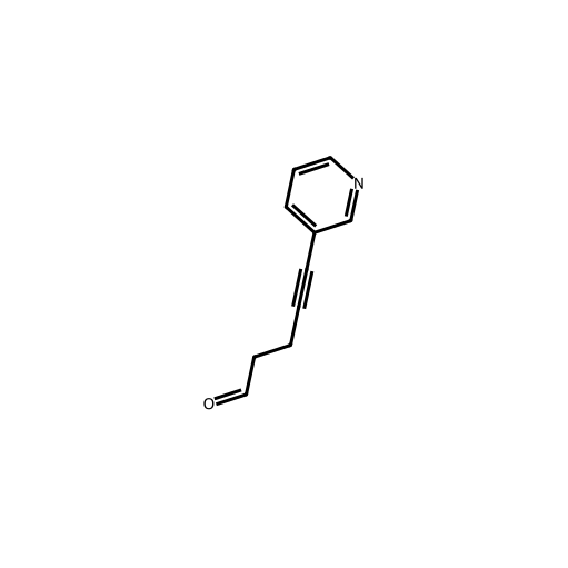 O=CCCC#Cc1cccnc1